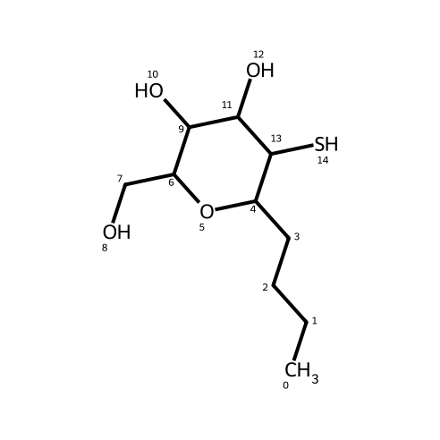 CCCCC1OC(CO)C(O)C(O)C1S